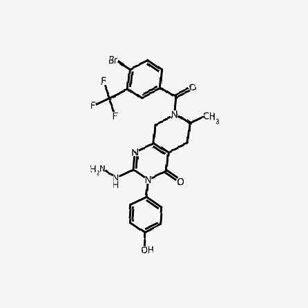 CC1Cc2c(nc(NN)n(-c3ccc(O)cc3)c2=O)CN1C(=O)c1ccc(Br)c(C(F)(F)F)c1